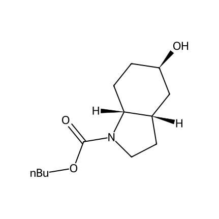 CCCCOC(=O)N1CC[C@H]2C[C@H](O)CC[C@H]21